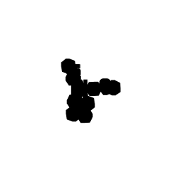 c1ccc(C2(c3ccccc3)c3ccccc3-c3c(-c4nc(-c5ccc(-c6cc7ccccc7o6)cc5)nc(-c5ccc6c(c5)sc5ccccc56)n4)cccc32)cc1